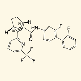 O=C(Nc1ccc(-c2ccccc2F)c(F)c1)C1=C(c2cccc(C(F)(F)F)n2)[C@@H]2CC[C@H]1O2